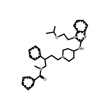 CC(C)OCCn1c(NC2CCN(CCC(CN(C)C(=O)c3ccccc3)c3ccccc3)CC2)nc2ccccc21